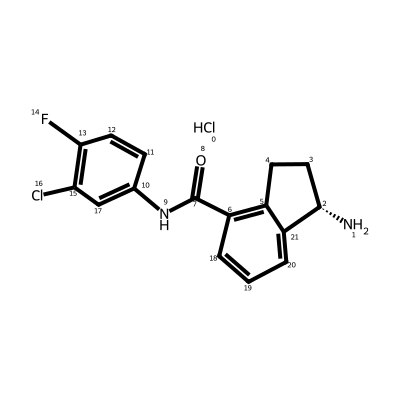 Cl.N[C@H]1CCc2c(C(=O)Nc3ccc(F)c(Cl)c3)cccc21